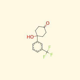 O=C1CCC(O)(c2cccc(C(F)(F)F)c2)CC1